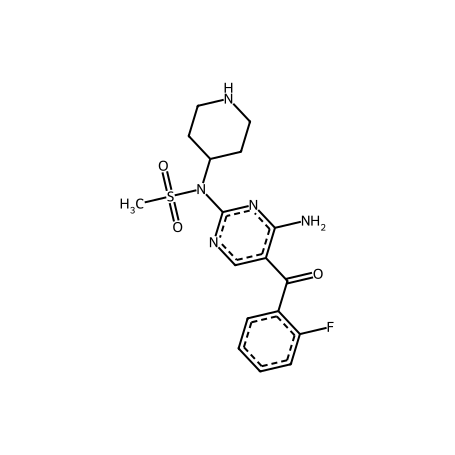 CS(=O)(=O)N(c1ncc(C(=O)c2ccccc2F)c(N)n1)C1CCNCC1